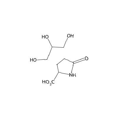 O=C1CCC(C(=O)O)N1.OCC(O)CO